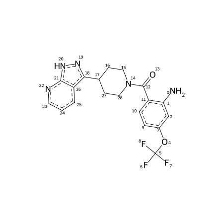 Nc1cc(OC(F)(F)F)ccc1C(=O)N1CCC(c2n[nH]c3ncccc23)CC1